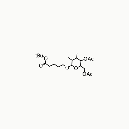 CC(=O)OCC1OC(OCCCCC(=O)OC(C)(C)C)C(C)C(C)C1OC(C)=O